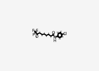 O=C(CCCCCCC(=O)C(F)(F)F)Nc1ccc(Cl)cc1